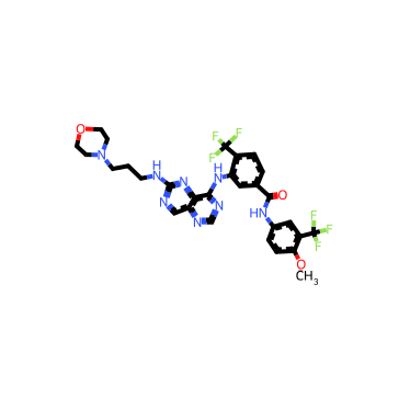 COc1ccc(NC(=O)c2ccc(C(F)(F)F)c(Nc3ncnc4cnc(NCCCN5CCOCC5)nc34)c2)cc1C(F)(F)F